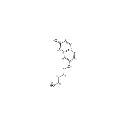 O=c1ccc2ccc(OCCCCO)cc2o1